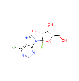 OC[C@H]1OC(F)(n2cnc3c(Cl)ncnc32)[C@H](O)[C@@H]1O